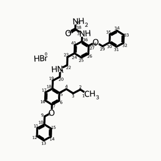 Br.CCCCc1cc(OCc2ccccc2)ccc1CCNCCc1ccc(OCc2ccccc2)c(NC(N)=O)c1